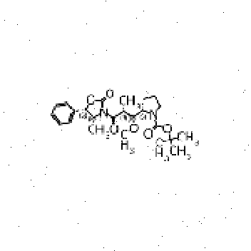 CO[C@H]([C@@H](C)C(=O)N1C(=O)O[C@@H](c2ccccc2)[C@H]1C)[C@@H]1CCCN1C(=O)OC(C)(C)C